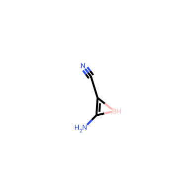 N#CC1=C(N)B1